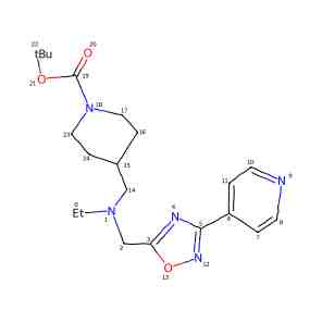 CCN(Cc1nc(-c2ccncc2)no1)CC1CCN(C(=O)OC(C)(C)C)CC1